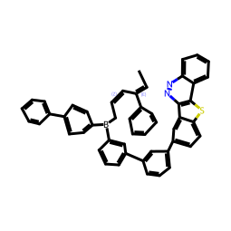 C/C=C(\C=C/CB(c1ccc(-c2ccccc2)cc1)c1cccc(-c2cccc(-c3ccc4sc5c6ccccc6nnc5c4c3)c2)c1)c1ccccc1